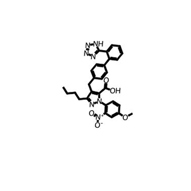 CCCCc1nn(-c2ccc(OC)cc2[N+](=O)[O-])c(C(=O)O)c1Cc1ccc(-c2ccccc2-c2nnn[nH]2)cc1